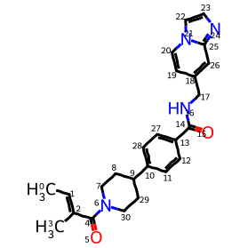 CC=C(C)C(=O)N1CCC(c2ccc(C(=O)NCc3ccn4ccnc4c3)cc2)CC1